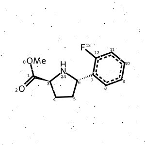 COC(=O)[C@@H]1CC[C@@H](c2ccccc2F)N1